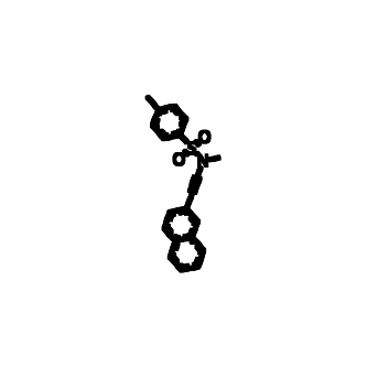 Cc1ccc(S(=O)(=O)N(C)C#Cc2ccc3ccccc3c2)cc1